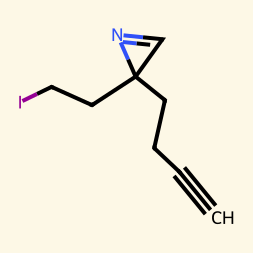 C#CCCC1(CCI)C=N1